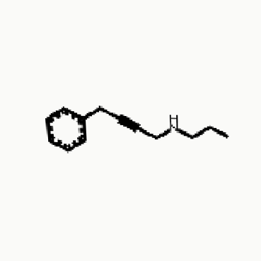 CCCNCC#CCc1ccccc1